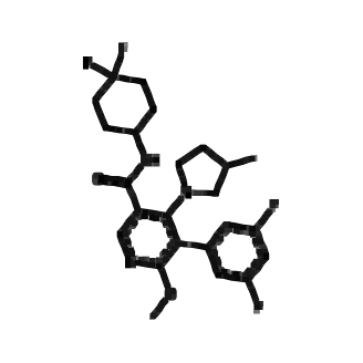 COc1ncc(C(=O)NC2CCC(F)(F)CC2)c(N2CCC(C)C2)c1-c1cc(F)cc(F)c1